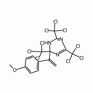 C=C(c1ccc(OC)cc1)C1(C(Cl)(Cl)Cl)N=C(C(Cl)(Cl)Cl)N=C(C(Cl)(Cl)Cl)N1